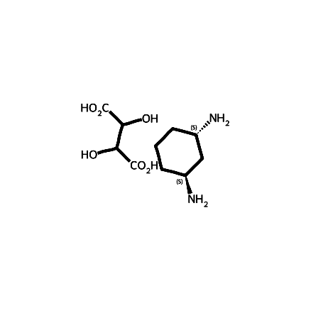 N[C@H]1CCC[C@H](N)C1.O=C(O)C(O)C(O)C(=O)O